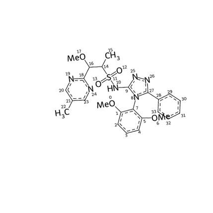 COc1cccc(OC)c1-n1c(NS(=O)(=O)C(C)C(OC)c2ncc(C)cn2)nnc1-c1ccccc1